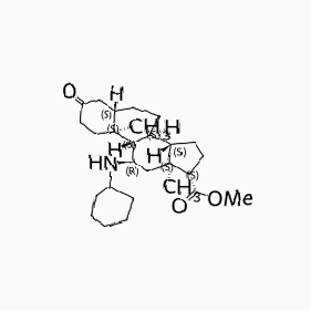 COC(=O)[C@H]1CC[C@H]2[C@@H]3CC[C@H]4CC(=O)CC[C@]4(C)[C@H]3[C@H](NC3CCCCC3)C[C@]12C